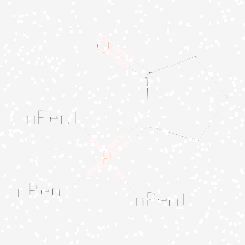 CCCCCP(CCCCC)(CCCCC)=C1CCCC1=O